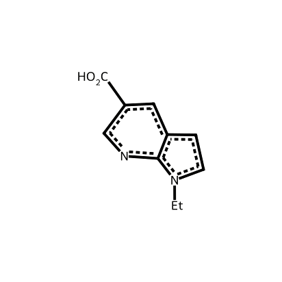 CCn1ccc2cc(C(=O)O)cnc21